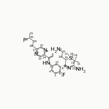 C=C(Nc1ccc(F)c([C@H]2N=C(N)C(C)(C)S(C)(C)C2CCN)c1)c1cnc(CCC(C)F)cn1